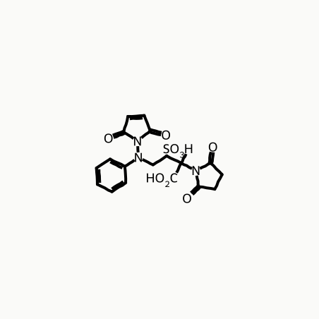 O=C1C=CC(=O)N1N(CCC(C(=O)O)(N1C(=O)CCC1=O)S(=O)(=O)O)c1ccccc1